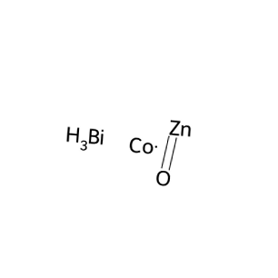 [BiH3].[Co].[O]=[Zn]